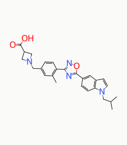 Cc1cc(CN2CC(C(=O)O)C2)ccc1-c1noc(-c2ccc3c(ccn3CC(C)C)c2)n1